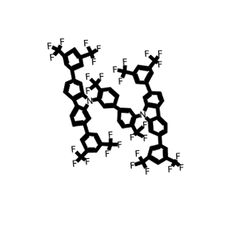 FC(F)(F)c1cc(-c2ccc3c4ccc(-c5cc(C(F)(F)F)cc(C(F)(F)F)c5)cc4n(-c4cc(-c5ccc(C(F)(F)F)c(-n6c7cc(-c8cc(C(F)(F)F)cc(C(F)(F)F)c8)ccc7c7ccc(-c8cc(C(F)(F)F)cc(C(F)(F)F)c8)cc76)c5)ccc4C(F)(F)F)c3c2)cc(C(F)(F)F)c1